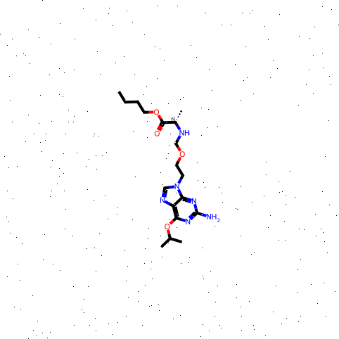 CCCCOC(=O)[C@H](C)NCOCCn1cnc2c(OC(C)C)nc(N)nc21